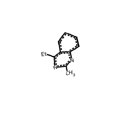 CCc1nc(C)nc2ccccc12